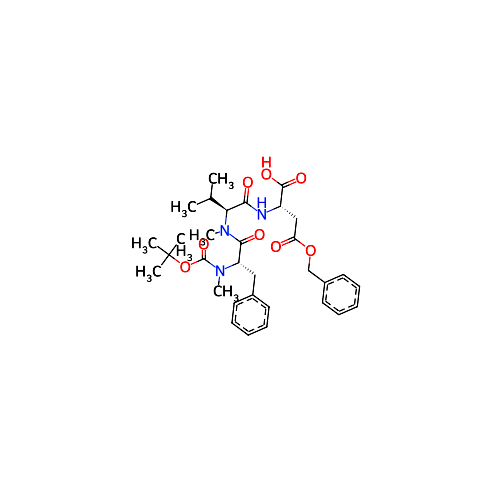 CC(C)[C@@H](C(=O)N[C@@H](CC(=O)OCc1ccccc1)C(=O)O)N(C)C(=O)[C@H](Cc1ccccc1)N(C)C(=O)OC(C)(C)C